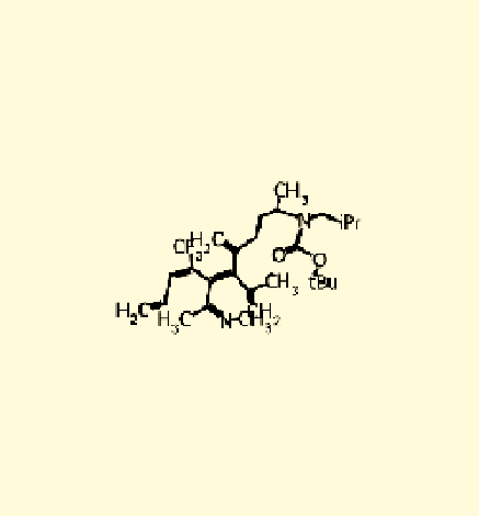 C=C\C=C(C(/C(C)=N\C)=C(/C(=C)C)C(=C)CC[C@@H](C)N(CC(C)C)C(=O)OC(C)(C)C)\C(F)(F)F